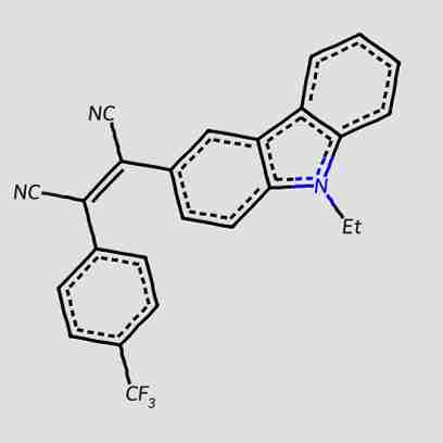 CCn1c2ccccc2c2cc(C(C#N)=C(C#N)c3ccc(C(F)(F)F)cc3)ccc21